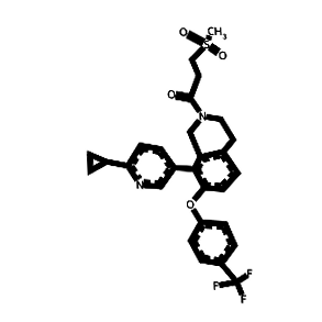 CS(=O)(=O)CCC(=O)N1CCc2ccc(Oc3ccc(C(F)(F)F)cc3)c(-c3ccc(C4CC4)nc3)c2C1